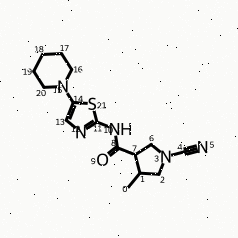 CC1CN(C#N)CC1C(=O)Nc1ncc(N2CCCCC2)s1